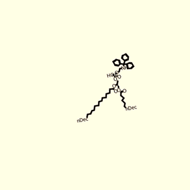 CCCCCCCCCCCCCCCCCCCCCCCC(=O)O[C@H](COC(=O)CCCCCCCCCCCCCCC)COP(=O)(O)OCCNC(c1ccccc1)(c1ccccc1)c1ccccc1